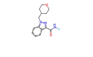 O=C(NF)c1nn(CC2CCOCC2)c2ccccc12